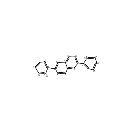 c1ccc(-c2ccc3cc(-c4ccccn4)ccc3c2)nc1